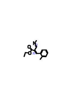 CCOC(=O)C(/C=N/C)=C/c1ccccc1C